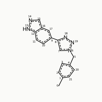 Cc1ccc(Cn2cc(-c3ccc4[nH]ncc4c3)nn2)cc1